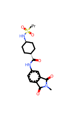 CC(C)S(=O)(=O)N[C@H]1CC[C@H](C(=O)Nc2ccc3c(c2)C(=O)N(C)C3=O)CC1